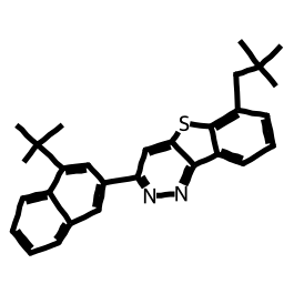 CC(C)(C)Cc1cccc2c1sc1cc(-c3cc(C(C)(C)C)c4ccccc4c3)nnc12